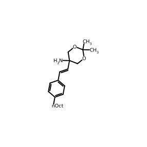 CCCCCCCCc1ccc(/C=C/C2(N)COC(C)(C)OC2)cc1